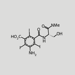 CNC(=O)[C@H](CO)NC(=O)c1c(I)c(N)c(I)c(C(=O)O)c1I